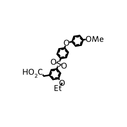 CCOc1cc(CC(=O)O)cc(S(=O)(=O)c2ccc(Oc3ccc(OC)cc3)cc2)c1